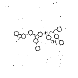 C/C(=C/c1ccccc1)c1ccc(-c2ccccc2)cc1-c1cc(Sc2ccc3c(c2)c2cc(-c4ccccc4)ccc2n3-c2cccc(-c3ccc4sc5ccccc5c4c3)c2)ccc1C